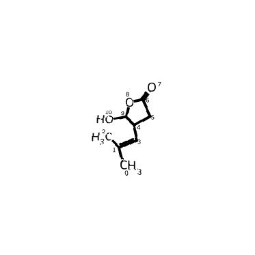 CC(C)=CC1CC(=O)OC1O